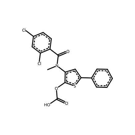 CN(C(=O)c1ccc(Cl)cc1Cl)c1cc(-c2ccccc2)sc1OC(=O)O